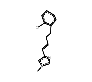 Cn1cnc(C=CCCc2ccccc2Cl)c1